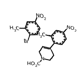 Cc1cc([N+](=O)[O-])ccc1Br.Cc1cc([N+](=O)[O-])ccc1C1=CCN(C(=O)O)CC1